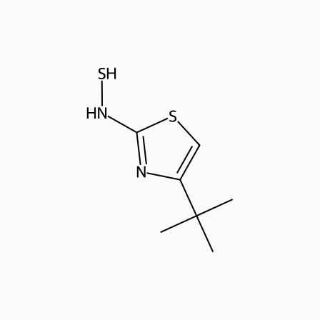 CC(C)(C)c1csc(NS)n1